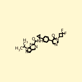 CC(C)n1ncc2cnc(C(=O)NC3(c4ccc(-c5cncn(C6CC(F)(F)C6)c5=O)cc4)CC3)nc21